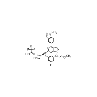 COCCOc1cc(F)cc(F)c1-c1c(C#CC2CNC2)nc(-c2ccc3c(cnn3C)c2)c2ccsc12.O=C(O)C(F)(F)F